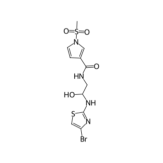 CS(=O)(=O)n1ccc(C(=O)NCC(O)Nc2nc(Br)cs2)c1